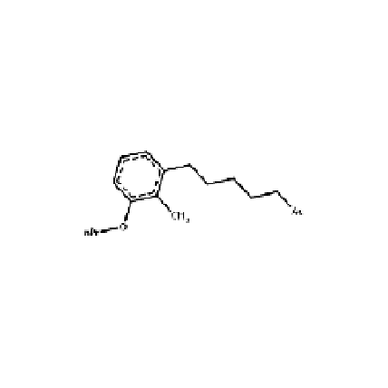 CCCOc1cccc(CCCCCC(C)=O)c1C